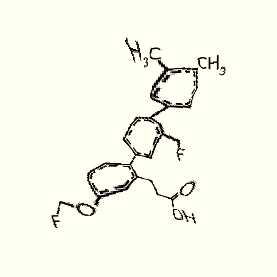 Cc1ccc(-c2ccc(-c3ccc(OCF)cc3CCC(=O)O)cc2CF)cc1C